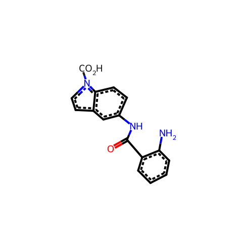 Nc1ccccc1C(=O)Nc1ccc2c(ccn2C(=O)O)c1